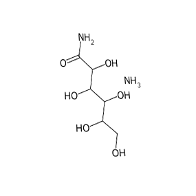 N.NC(=O)C(O)C(O)C(O)C(O)CO